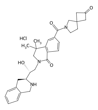 CC1(C)CN(C[C@@H](O)[C@@H]2Cc3ccccc3CN2)C(=O)c2ccc(C(=O)N3CCC4(CC(=O)C4)C3)cc21.Cl